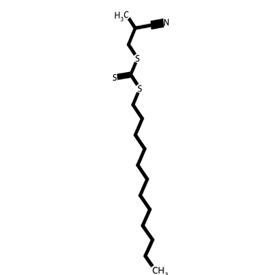 CCCCCCCCCCCCSC(=S)SCC(C)C#N